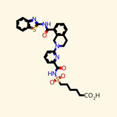 O=C(O)CCCCCS(=O)(=O)NC(=O)c1cccc(N2CCc3cccc(C(=O)Nc4nc5ccccc5s4)c3C2)n1